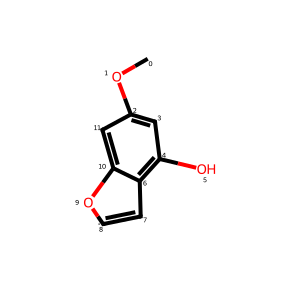 COc1cc(O)c2c[c]oc2c1